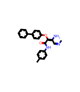 C/N=C\C(N)=C(\Oc1ccc(-c2ccccc2)cc1)C(=O)Nc1ccc(C)cc1